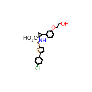 O=C(O)C1(NSc2ccc(-c3ccc(Cl)cc3)s2)CC1c1cccc(OCCO)c1